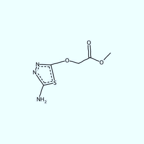 COC(=O)COc1nnc(N)s1